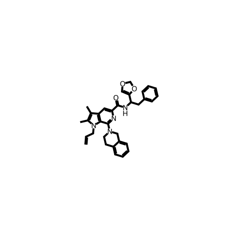 C=CCn1c(C)c(C)c2cc(C(=O)NC(Cc3ccccc3)C3=COCO3)nc(N3CCc4ccccc4C3)c21